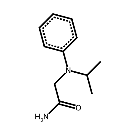 CC(C)N(CC(N)=O)c1ccccc1